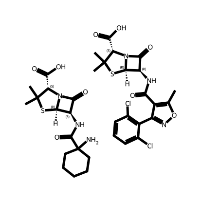 CC1(C)S[C@@H]2[C@H](NC(=O)C3(N)CCCCC3)C(=O)N2[C@H]1C(=O)O.Cc1onc(-c2c(Cl)cccc2Cl)c1C(=O)N[C@@H]1C(=O)N2[C@@H]1SC(C)(C)[C@@H]2C(=O)O